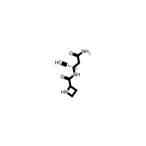 C#C[C@H](CC(N)=O)NC(=O)C1CCN1